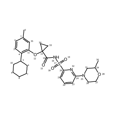 Cc1ccc(C2CCCCC2)c(OC2(C(=O)NS(=O)(=O)c3cccc(N4CCOC(C)C4)n3)CC2)c1